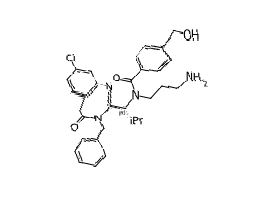 CC(C)[C@H](c1nc2cc(Cl)ccc2c(=O)n1Cc1ccccc1)N(CCCN)C(=O)c1ccc(CO)cc1